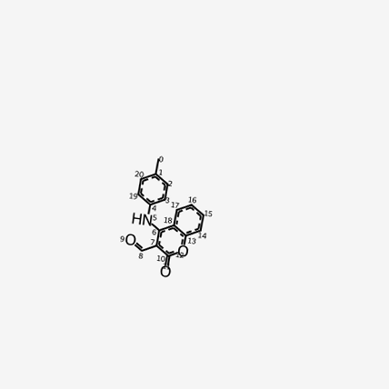 Cc1ccc(Nc2c(C=O)c(=O)oc3ccccc23)cc1